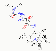 CCC1(C)CC(NC(=O)C(=O)NNC(=O)N(C)C)C(C)C(C)(CC)N1C